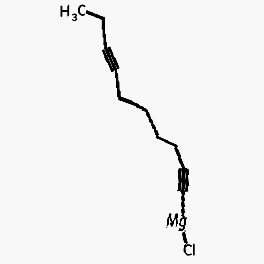 CCC#CCCCCC#[C][Mg][Cl]